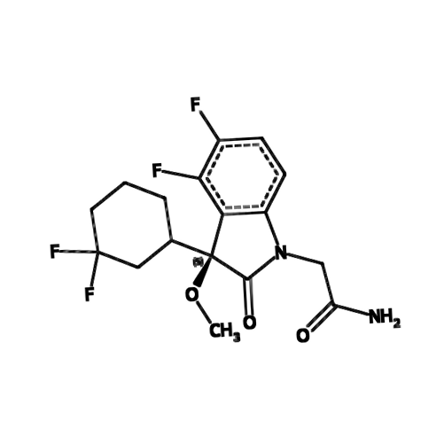 CO[C@]1(C2CCCC(F)(F)C2)C(=O)N(CC(N)=O)c2ccc(F)c(F)c21